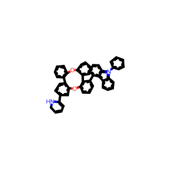 C1=CCNC(c2ccc3c(c2)Oc2cccc(-c4cccc5c4c4ccccc4n5-c4ccccc4)c2-c2ccccc2Oc2ccccc2-3)=C1